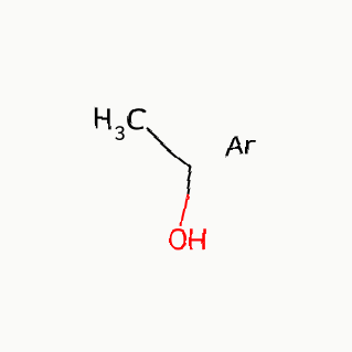 CCO.[Ar]